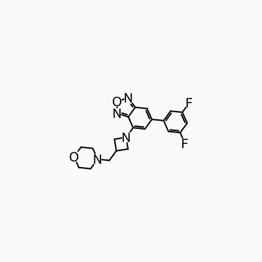 Fc1cc(F)cc(-c2cc(N3CC(CN4CCOCC4)C3)c3nonc3c2)c1